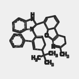 CC1=NC2=C(CC1)C1C=CC=C(C3Nc4ccccc4N3C3=CCC(C(C)(C)C)C=C3c3ccccc3)C1O2